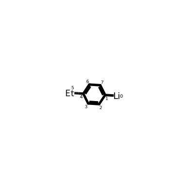 [Li][c]1ccc(CC)cc1